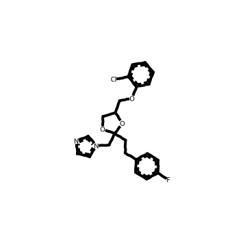 Fc1ccc(CCC2(Cn3ccnc3)OCC(COc3ccccc3Cl)O2)cc1